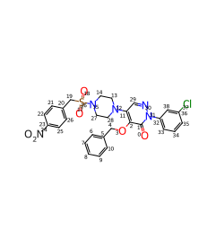 O=c1c(OCc2ccccc2)c(N2CCN(S(=O)(=O)Cc3ccc([N+](=O)[O-])cc3)CC2)cnn1-c1cccc(Cl)c1